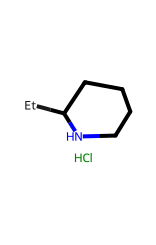 CCC1CCCCN1.Cl